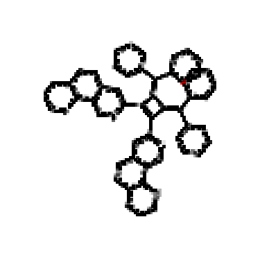 c1ccc(C(=C2C(=C(c3ccccc3)c3ccccc3)C(c3cc4ccc5cccnc5c4cn3)=C2c2cc3ccc4cccnc4c3cn2)c2ccccc2)cc1